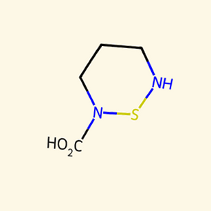 O=C(O)N1CCCNS1